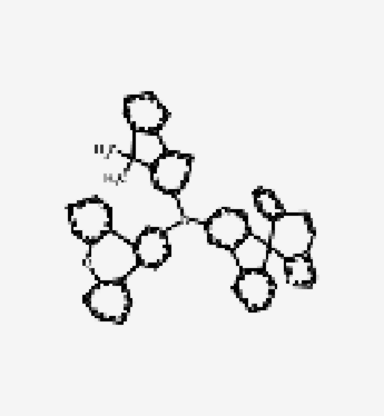 CC1(C)c2ccccc2-c2ccc(N(c3ccc4c(c3)-c3ccccc3Oc3ccccc3-4)c3ccc4c(c3)-c3ccccc3C43c4ccccc4C=Cc4ccccc43)cc21